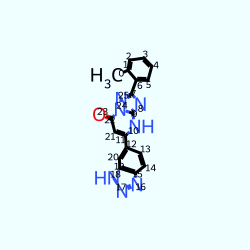 Cc1ccccc1-c1nc2[nH]c(-c3ccc4nn[nH]c4c3)cc(=O)n2n1